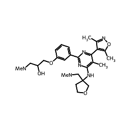 CNCC(O)COc1cccc(-c2nc(NC3(CNC)CCOC3)c(C)c(-c3c(C)noc3C)n2)c1